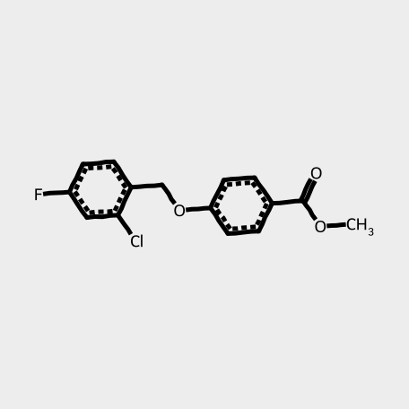 COC(=O)c1ccc(OCc2ccc(F)cc2Cl)cc1